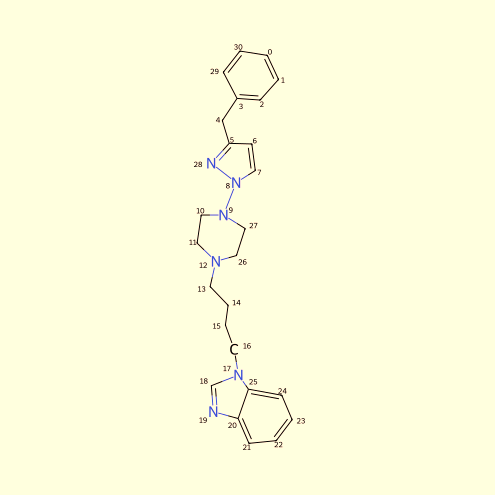 c1ccc(Cc2ccn(N3CCN(CCCCn4cnc5ccccc54)CC3)n2)cc1